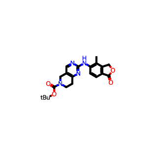 Cc1c(Nc2ncc3c(n2)CCN(C(=O)OC(C)(C)C)C3)ccc2c1COC2=O